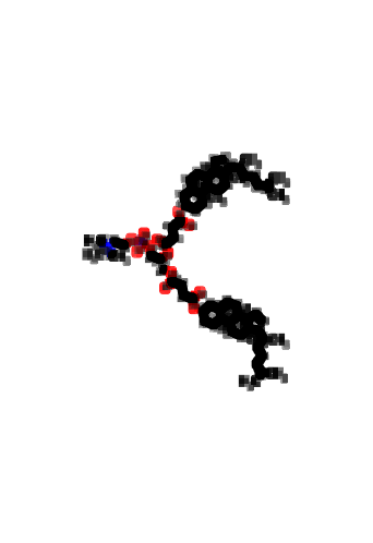 CC(C)CCC[C@@H](C)[C@H]1CC[C@H]2[C@@H]3CC=C4C[C@@H](OC(=O)CCC(=O)OC[C@H](COP(=O)([O-])OCC[N+](C)(C)C)OC(=O)CCC(=O)O[C@H]5CC[C@@]6(C)C(=CC[C@H]7[C@@H]8CC[C@H]([C@H](C)CCCC(C)C)[C@@]8(C)CC[C@@H]76)C5)CC[C@]4(C)[C@H]3CC[C@]12C